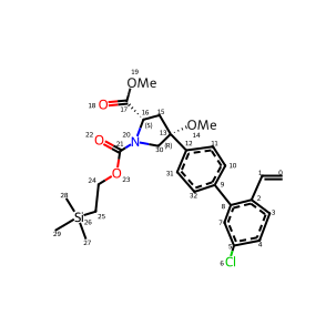 C=Cc1ccc(Cl)cc1-c1ccc([C@]2(OC)C[C@@H](C(=O)OC)N(C(=O)OCC[Si](C)(C)C)C2)cc1